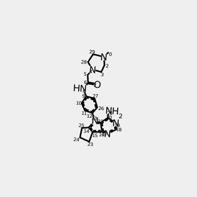 CN1CCN(CC(=O)Nc2ccc(-n3c4c(c5ncnc(N)c53)CCC4)cc2)CC1